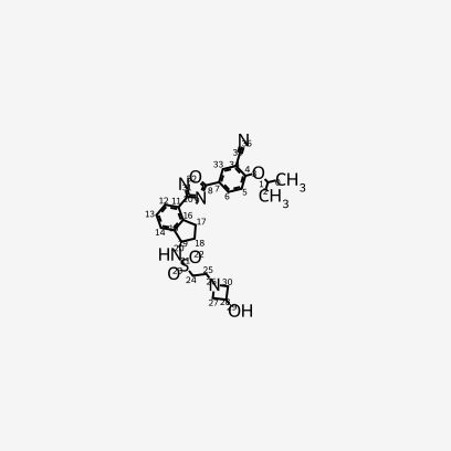 CC(C)Oc1ccc(-c2nc(-c3cccc4c3CC[C@H]4NS(=O)(=O)CCN3CC(O)C3)no2)cc1C#N